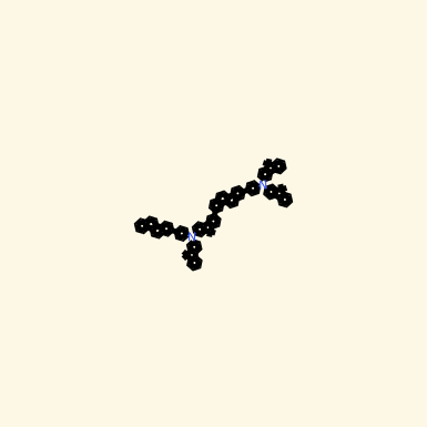 CC1(C)c2ccccc2-c2cc(N(c3ccc(-c4ccc5c(ccc6c7cc(-c8ccc9c(c8)-c8ccc(N(c%10ccc(-c%11ccc%12c(ccc%13c%14ccccc%14ccc%12%13)c%11)cc%10)c%10ccc%11c(c%10)C(C)(C)c%10ccccc%10-%11)cc8C9(C)C)ccc7ccc56)c4)cc3)c3ccc4c(c3)C(C)(C)c3ccccc3-4)ccc21